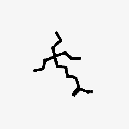 CCO[Si](CCSCC(=O)O)(OCC)OCC